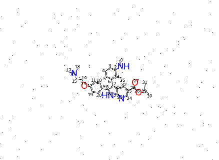 CNc1cccc(-c2c(-c3ccc(OCCN(C)C)cc3)[nH]c3ncc(C(=O)OC(C)C)cc23)c1C